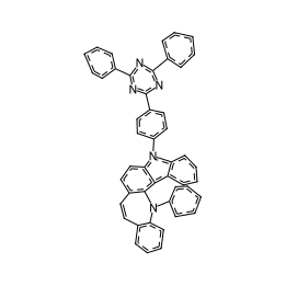 C1=Cc2ccc3c(c2N(c2ccccc2)c2ccccc21)c1ccccc1n3-c1ccc(-c2nc(-c3ccccc3)nc(-c3ccccc3)n2)cc1